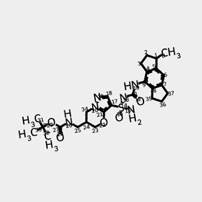 CC1CCc2c1cc1c(c2NC(=O)N=S(N)(=O)c2cnn3c2OCC(CNC(=O)OC(C)(C)C)C3)CCC1